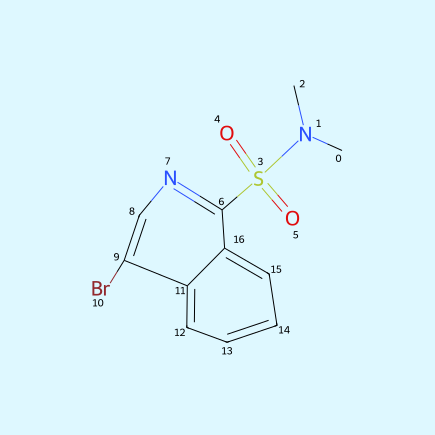 CN(C)S(=O)(=O)c1ncc(Br)c2ccccc12